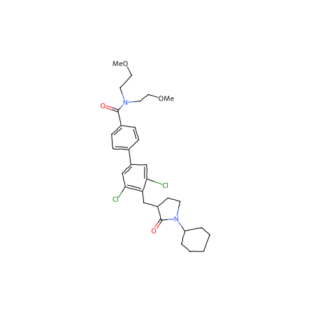 COCCN(CCOC)C(=O)c1ccc(-c2cc(Cl)c(CC3CCN(C4CCCCC4)C3=O)c(Cl)c2)cc1